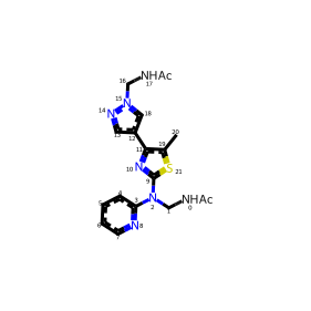 CC(=O)NCN(c1ccccn1)c1nc(-c2cnn(CNC(C)=O)c2)c(C)s1